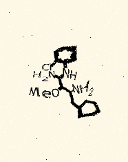 COC(C(N)Nc1ccccc1Cl)[C@H](N)CC1CCCCC1